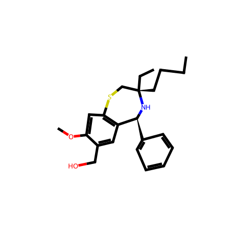 CCCC[C@]1(CC)CSc2cc(OC)c(CO)cc2[C@H](c2ccccc2)N1